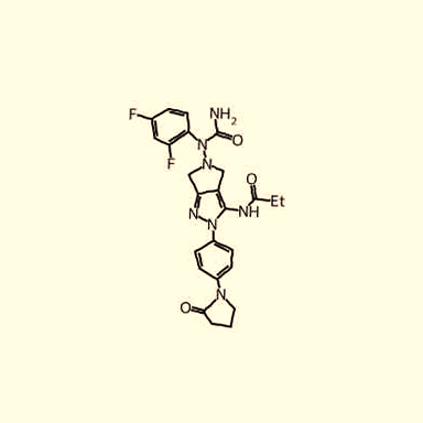 CCC(=O)Nc1c2c(nn1-c1ccc(N3CCCC3=O)cc1)CN(N(C(N)=O)c1ccc(F)cc1F)C2